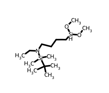 CCN(CCCC[SiH](OC)OC)[Si](C)(C)C(C)(C)C